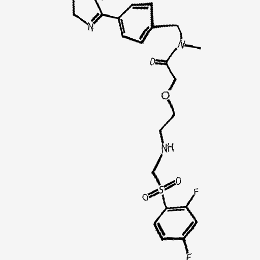 CN(Cc1ccc(C2=NCCN2)cc1)C(=O)COCCNCS(=O)(=O)c1ccc(F)cc1F